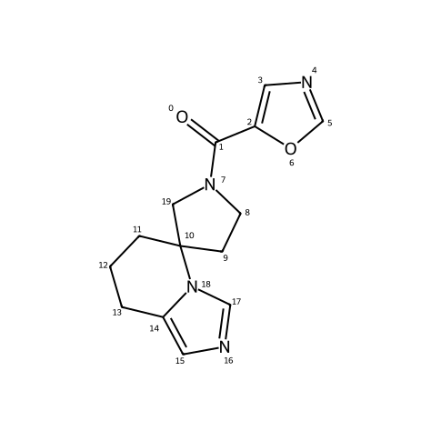 O=C(c1cnco1)N1CCC2(CCCc3cncn32)C1